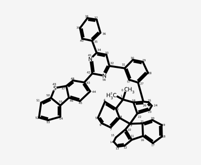 CC1(C)c2ccccc2C2(C3=C(C=CCC3)c3ccccc32)c2cccc(-c3cccc(-c4cc(-c5ccccc5)nc(-c5ccc6c(c5)sc5ccccc56)n4)c3)c21